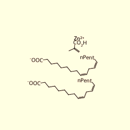 C=C(C)C(=O)O.CCCCC/C=C\C/C=C\CCCCCCCC(=O)[O-].CCCCC/C=C\C/C=C\CCCCCCCC(=O)[O-].[Zn+2]